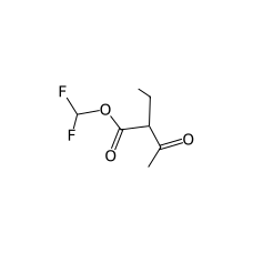 CCC(C(C)=O)C(=O)OC(F)F